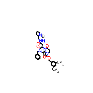 CCN1CCCC1CNC(=O)C[C@H]1C(=O)N(Cc2ccccc2)C[C@@H]2N(C(=O)OCc3cc(C(F)(F)F)cc(C(F)(F)F)c3)CCC(=O)N21